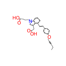 CCC#CCOc1ccc(C=Cc2cccc3c2c(CC(=O)O)cn3CCCC(=O)O)cc1